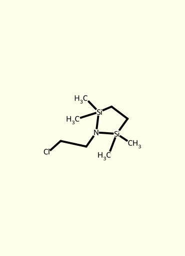 C[Si]1(C)CC[Si](C)(C)N1CCCl